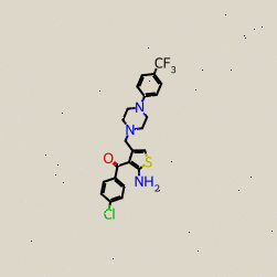 Nc1scc(CN2CCN(c3ccc(C(F)(F)F)cc3)CC2)c1C(=O)c1ccc(Cl)cc1